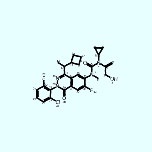 C=C(CO)N(C(=O)N(C)c1cc2c(C(C)C3CCC3)nn(-c3c(F)cccc3Cl)c(=O)c2cc1F)C1CC1